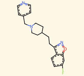 Fc1ccc2c(CCC3CCN(Cc4ccncc4)CC3)noc2c1